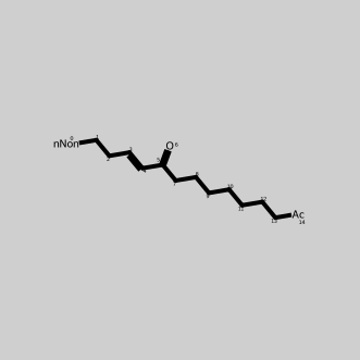 CCCCCCCCCCC/C=C/C(=O)CCCCCCCC(C)=O